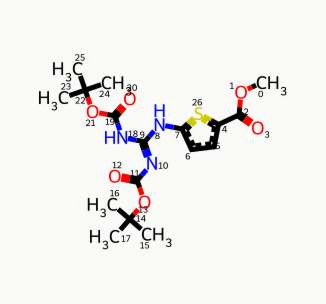 COC(=O)c1ccc(N/C(=N/C(=O)OC(C)(C)C)NC(=O)OC(C)(C)C)s1